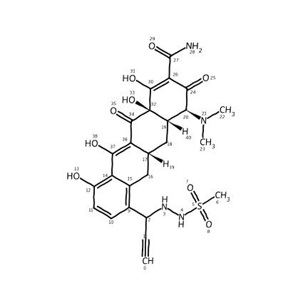 C#CC(NNS(C)(=O)=O)c1ccc(O)c2c1C[C@H]1C[C@H]3[C@H](N(C)C)C(=O)C(C(N)=O)=C(O)[C@@]3(O)C(=O)C1=C2O